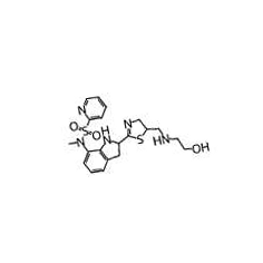 CN(c1cccc2c1NC(C1=NCC(CNCCO)S1)C2)S(=O)(=O)c1ccccn1